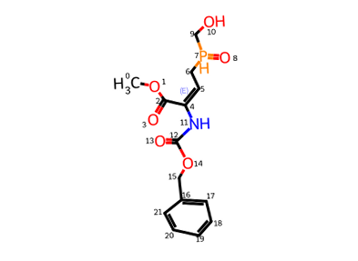 COC(=O)/C(=C\C[PH](=O)CO)NC(=O)OCc1ccccc1